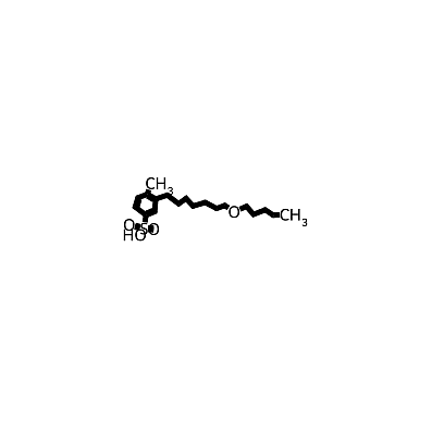 CCCCCOCCCCCCCc1cc(S(=O)(=O)O)ccc1C